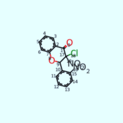 O=C1c2ccccc2OC(c2ccccc2[N+](=O)[O-])C1(Cl)[N+](=O)[O-]